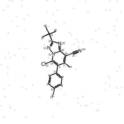 Cc1c(-c2ccc(F)cc2)c(Cl)n2nc(C(C)(C)C)nc2c1C#N